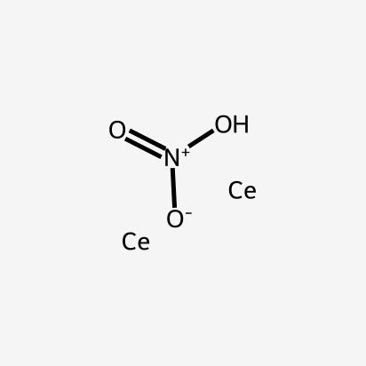 O=[N+]([O-])O.[Ce].[Ce]